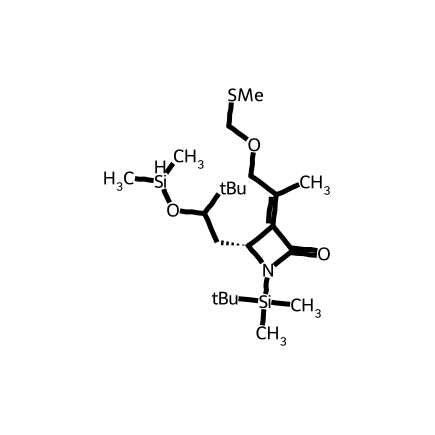 CSCOCC(C)=C1C(=O)N([Si](C)(C)C(C)(C)C)[C@@H]1CC(O[SiH](C)C)C(C)(C)C